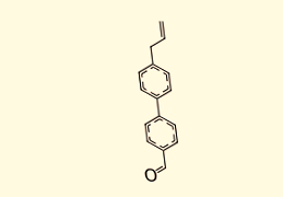 C=CCc1ccc(-c2ccc(C=O)cc2)cc1